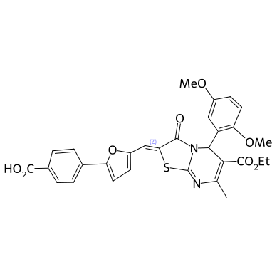 CCOC(=O)C1=C(C)N=c2s/c(=C\c3ccc(-c4ccc(C(=O)O)cc4)o3)c(=O)n2C1c1cc(OC)ccc1OC